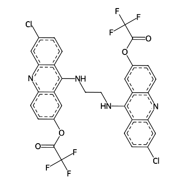 O=C(Oc1ccc2nc3cc(Cl)ccc3c(NCCNc3c4ccc(Cl)cc4nc4ccc(OC(=O)C(F)(F)F)cc34)c2c1)C(F)(F)F